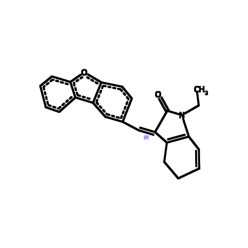 CCN1C(=O)/C(=C\c2ccc3oc4ccccc4c3c2)C2=C1C=CCC2